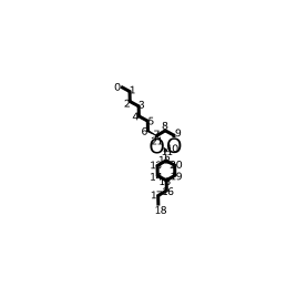 CCCCCCC[C@H]1CCO[C@H](C2CCC(CCC)CC2)O1